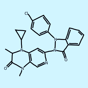 CC1C(=O)N(C)c2cnc(-n3c(=O)c4ccccc4n3-c3ccc(Cl)cc3)cc2N1C1CC1